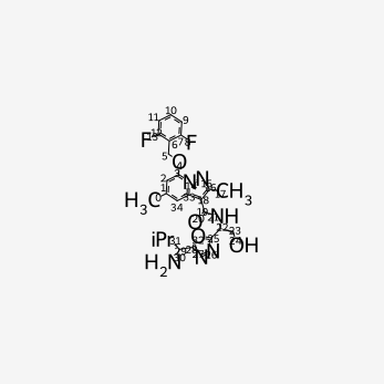 Cc1cc(OCc2c(F)cccc2F)n2nc(C)c(C(=O)N[C@@H](CO)c3nnc([C@@H](N)C(C)C)o3)c2c1